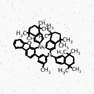 Cc1cc(-c2ccc3c(oc4ccccc43)c2Nc2ccc3c(c2)C(C)(C)CCC3(C)C)cc(N(c2ccc3c(c2)C(C)(C)CCC3(C)C)c2ccc3c(c2)C(C)(C)CCC3(C)C)c1